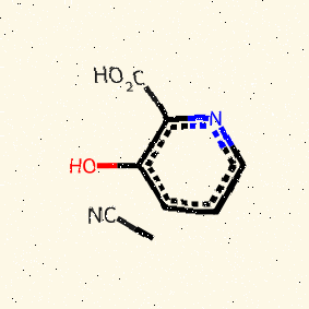 CC#N.O=C(O)c1ncccc1O